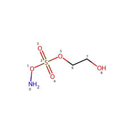 NOS(=O)(=O)OCCO